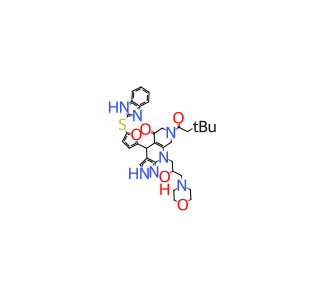 CC(C)(C)CC(=O)N1CC(=O)C2=C(C1)N(CC(O)CN1CCOCC1)c1n[nH]cc1C2c1ccc(Sc2nc3ccccc3[nH]2)o1